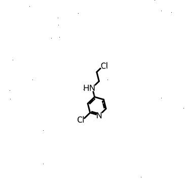 ClCCNc1ccnc(Cl)c1